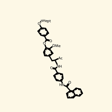 CCCCCCCOc1ccc(C(=O)Oc2ccc(CC(NC(=O)c3ccc(NC(=O)c4cccc5ccccc45)cc3)C(C)=O)cc2OC)cc1